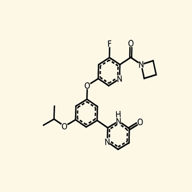 CC(C)Oc1cc(Oc2cnc(C(=O)N3CCC3)c(F)c2)cc(-c2nccc(=O)[nH]2)c1